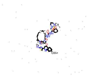 COc1ccc2c(O[C@@H]3C[C@H]4C(=O)N[C@]5(C(=O)O)CC5/C=C\CCCCC[C@H](NC(=O)N[C@H](CN5CCCN(C)S5(=O)=O)C5CCCCC5)C(=O)N4C3)cc(-c3csc(NC(C)C)n3)nc2c1